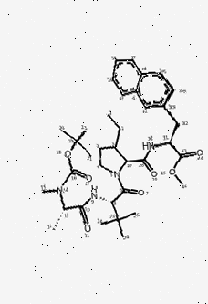 CCC1CCN(C(=O)[C@@H](NC(=O)[C@H](C)N(C)C(=O)OC(C)(C)C)C(C)(C)C)[C@@H]1C(=O)N[C@@H](Cc1ccc2ccccc2c1)C(=O)OC